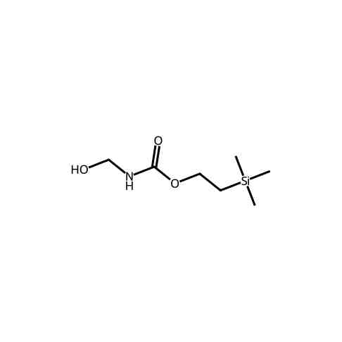 C[Si](C)(C)CCOC(=O)NCO